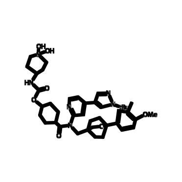 COc1ccc(C23CCC(CN(C(=O)C4CCC(OC(=O)NC5CCS(O)(O)CC5)CC4)c4cc(-c5cnn(C(C)(C)C)c5)ccn4)(CC2)CC3)cc1C